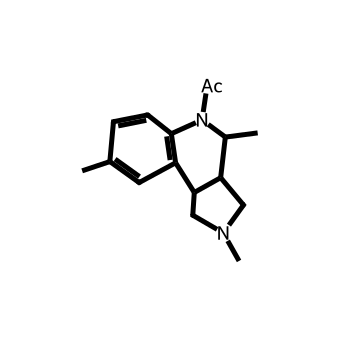 CC(=O)N1c2ccc(C)cc2C2CN(C)CC2C1C